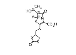 C[C@@H](O)[C@H]1C(=O)N2C(C(=O)O)=C(SCC3CSC(=O)S3)S[C@H]12